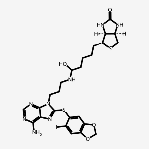 Nc1ncnc2c1nc(Sc1cc3c(cc1I)OCO3)n2CCCNC(O)CCCC[C@@H]1SC[C@@H]2NC(=O)N[C@@H]21